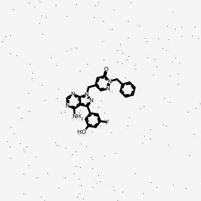 Nc1ncnc2c1c(-c1cc(O)cc(F)c1)nn2Cc1cnn(Cc2ccccc2)c(=O)c1